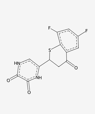 O=C1CC(c2c[nH]c(=O)c(=O)[nH]2)Sc2c(F)cc(F)cc21